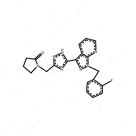 O=C1CCCN1Cc1n[nH]c(-c2nn(Cc3ccccc3F)c3ncccc23)n1